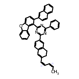 C/C=C\C=C/C1=Cc2ccc(-c3nc(-c4ccccc4)nc(-c4c(-c5ccc6ccccc6c5)ccc5oc6ccccc6c45)n3)cc2CC1